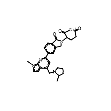 CC1CCCN1Cc1cc(-c2ccc3c(c2)CN(C2CCC(=O)NC2=O)C3=O)nc2c1ccn2C